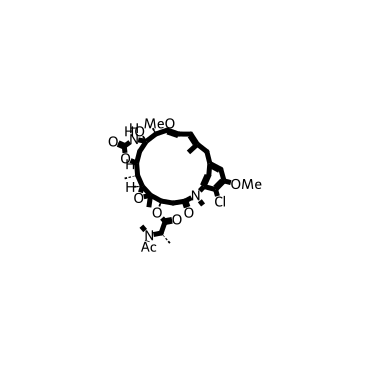 COc1cc2cc(c1Cl)N(C)C(=O)C[C@H](OC(=O)[C@H](C)N(C)C(C)=O)C1(C)O[C@H]1[C@H](C)[C@@H]1C[C@@](O)(NC(=O)O1)[C@H](OC)/C=C/C=C(\C)C2